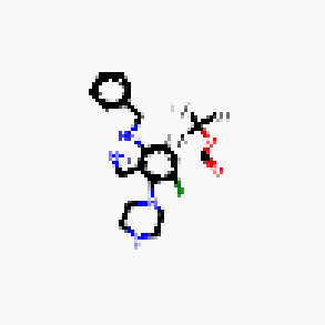 CC(C)(C)OC=O.NCc1c(NCc2ccccc2)ccc(F)c1N1CCNCC1